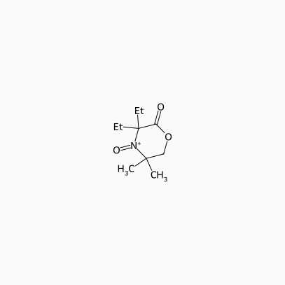 CCC1(CC)C(=O)OCC(C)(C)[N+]1=O